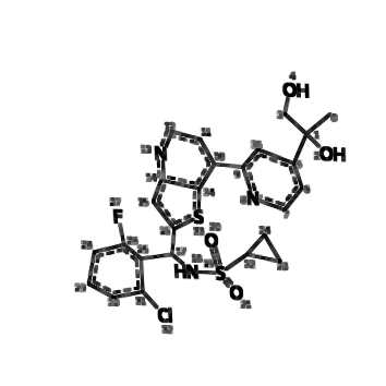 CC(O)(CO)c1ccnc(-c2ccnc3cc(C(NS(=O)(=O)C4CC4)c4c(F)cccc4Cl)sc23)c1